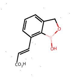 O=C(O)/C=C/c1cccc2c1B(O)OC2